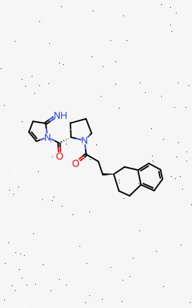 N=C1CC=CN1C(=O)[C@@H]1CCCN1C(=O)CC[C@@H]1CCc2ccccc2C1